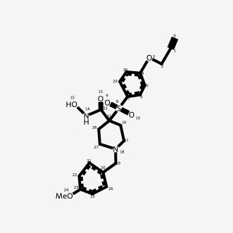 C#CCOc1ccc(S(=O)(=O)C2(C(=O)NO)CCN(Cc3ccc(OC)cc3)CC2)cc1